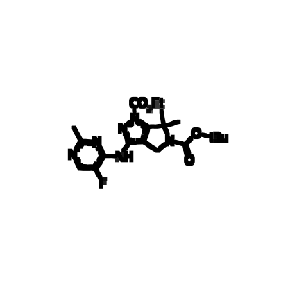 CCOC(=O)n1nc(Nc2nc(C)ncc2F)c2c1C(C)(C)N(C(=O)OC(C)(C)C)C2